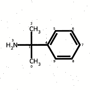 CC(C)(N)c1c[c]ccc1